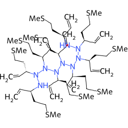 C=C[C@H](CCSC)NN([C@H](C=C)CCSC)N([C@H](C=C)CCSC)N([C@H](C=C)CCSC)N([C@H](C=C)CCSC)N([C@H](C=C)CCSC)N([C@H](C=C)CCSC)N(N[C@H](C=C)CCSC)[C@H](C=C)CCSC